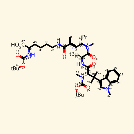 C/C(=C\[C@H](C(C)C)N(C)C(=O)[C@@H](NC(=O)[C@@H](N(C)C(=O)OC(C)(C)C)C(C)(C)c1cn(C)c2ccccc12)C(C)(C)C)C(=O)NCCCCC(NC(=O)OC(C)(C)C)C(=O)O